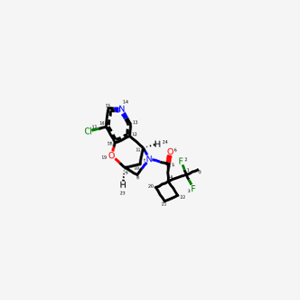 CC(F)(F)C1(C(=O)N2C[C@@H]3C[C@H]2c2cncc(Cl)c2O3)CCC1